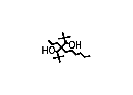 CCCCCCC(CCC)(C(O)C(C)(C)C)C(O)C(C)(C)C